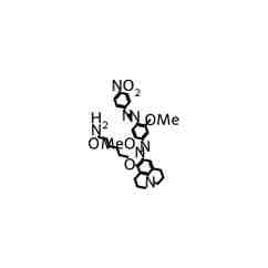 COc1cc(N=Nc2cc3c4c(c2OCCCCCC(N)=O)CCCN4CCC3)c(OC)cc1N=Nc1ccc([N+](=O)[O-])cc1